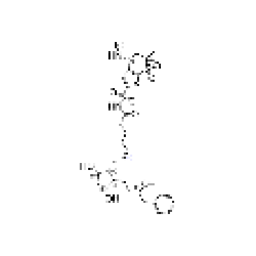 CCN[C@@H]1C[C@@H](C)S(=O)(=O)c2sc(S(=O)(=O)NC(=O)CCC/C=C\C[C@@H]3[C@@H](CC[C@@H](O)Cc4ccccc4)[C@H](O)C[C@@H]3O)cc21